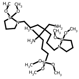 CO[Si](CCCC(C)(N)C(CN)(CCCN1CCC[Si]1(OC)OC)CCCN1CCC[Si]1(OC)OC)(OC)OC